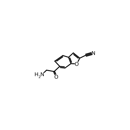 N#Cc1cc2ccc(C(=O)CN)cc2o1